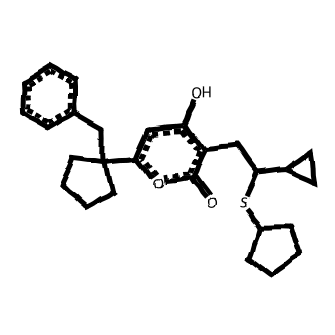 O=c1oc(C2(Cc3ccccc3)CCCC2)cc(O)c1CC(SC1CCCC1)C1CC1